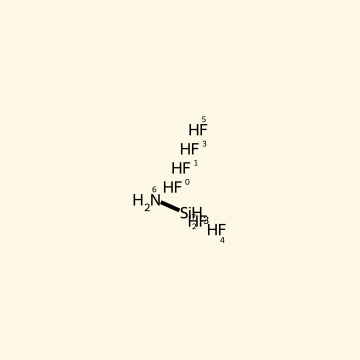 F.F.F.F.F.F.N[SiH3]